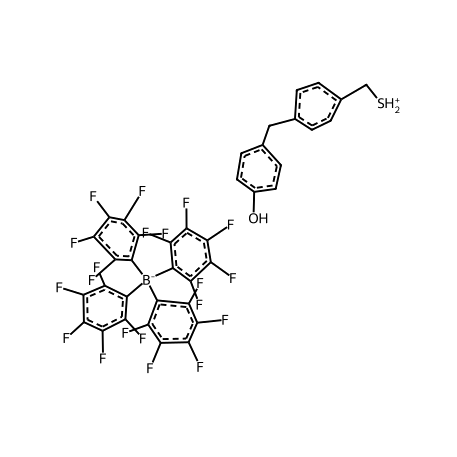 Fc1c(F)c(F)c([B-](c2c(F)c(F)c(F)c(F)c2F)(c2c(F)c(F)c(F)c(F)c2F)c2c(F)c(F)c(F)c(F)c2F)c(F)c1F.Oc1ccc(Cc2ccc(C[SH2+])cc2)cc1